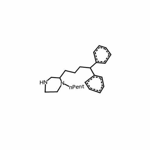 CCCCCN1CCNCC1CCCC(c1ccccc1)c1ccccc1